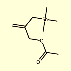 C=C(COC(C)=O)[CH2][Sn]([CH3])([CH3])[CH3]